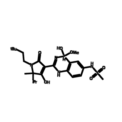 CO[PH]1(O)N=C(C2=C(O)C(C)(C(C)C)N(CCC(C)(C)C)C2=O)Nc2ccc(NS(C)(=O)=O)cc21